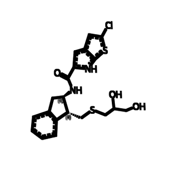 O=C(N[C@@H]1Cc2ccccc2[C@H]1CSCC(O)CO)c1cc2cc(Cl)sc2[nH]1